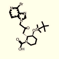 CC(C)(C)[Si](C)(C)O[C@H]1CCCN(C(=O)O)[C@@H]1CC(=O)Cn1cnc2c(Br)nccc21